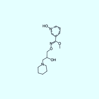 CO/C(=N\OCC(O)CN1CCCCC1)c1ccc[n+](O)c1